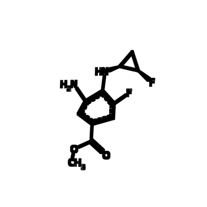 COC(=O)c1cc(N)c(N[C@H]2C[C@H]2F)c(F)c1